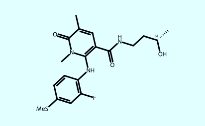 CSc1ccc(Nc2c(C(=O)NCC[C@H](C)O)cc(C)c(=O)n2C)c(F)c1